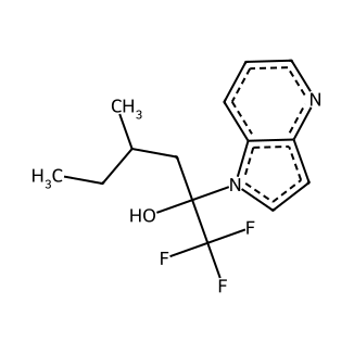 CCC(C)CC(O)(n1ccc2ncccc21)C(F)(F)F